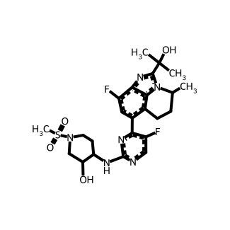 CC1CCc2c(-c3nc(NC4CCN(S(C)(=O)=O)CC4O)ncc3F)cc(F)c3nc(C(C)(C)O)n1c23